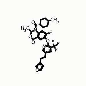 CC1OC(=O)c2cc(Oc3ncc(CCc4ccoc4)cc3C(F)(F)F)c(F)cc2N1C(=O)[C@H]1CC[C@H](C)CC1